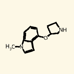 Cn1ccc2c(OC3CCNC3)cccc21